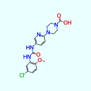 COc1ccc(Cl)cc1NC(=O)Nc1ccc(N2CCN(C(=O)O)CC2)nc1